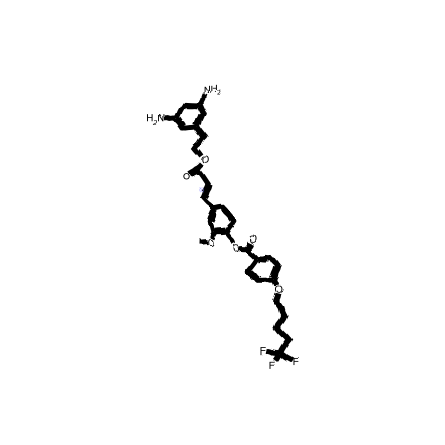 COc1cc(/C=C/C(=O)OCCc2cc(N)cc(N)c2)ccc1OC(=O)c1ccc(OCCCCC(F)(F)F)cc1